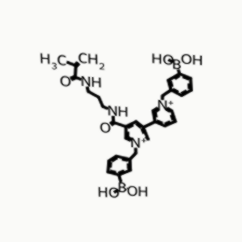 C=C(C)C(=O)NCCCNC(=O)c1cc(-c2ccc[n+](Cc3cccc(B(O)O)c3)c2)c[n+](Cc2cccc(B(O)O)c2)c1